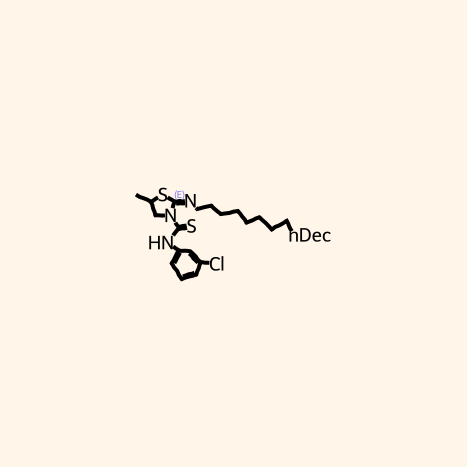 CCCCCCCCCCCCCCCCCC/N=C1/SC(C)CN1C(=S)Nc1cccc(Cl)c1